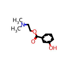 CN(C)CCOC(=O)c1cccc(O)c1